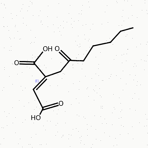 CCCCCC(=O)C/C(=C\C(=O)O)C(=O)O